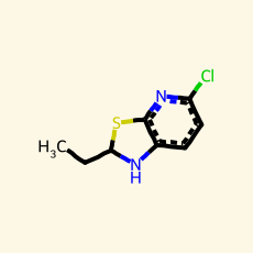 CCC1Nc2ccc(Cl)nc2S1